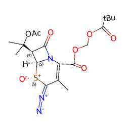 CC(=O)OC(C)(C)[C@H]1C(=O)N2C(C(=O)OCOC(=O)C(C)(C)C)=C(C)C(=[N+]=[N-])[S@+]([O-])[C@@H]12